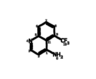 Nc1ccnc2cccc(C(F)(F)F)c12